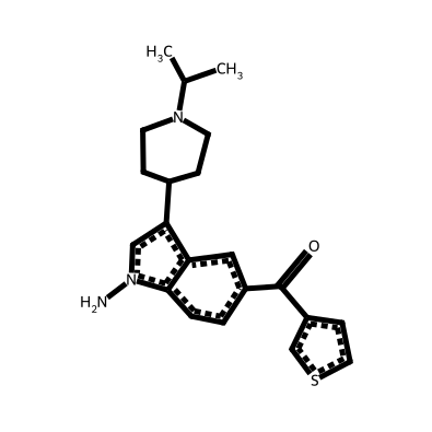 CC(C)N1CCC(c2cn(N)c3ccc(C(=O)c4ccsc4)cc23)CC1